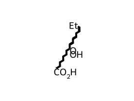 CC/C=C\C/C=C/C=C/C(CCCCCCCC(=O)O)OO